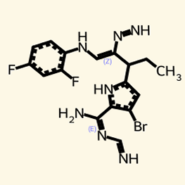 CCC(/C(=C/Nc1ccc(F)cc1F)N=N)c1cc(Br)c(/C(N)=N\C=N)[nH]1